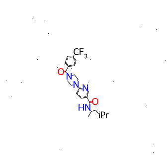 CC(C)CC(C)NC(=O)c1ccc(N2CCN(C(=O)c3ccc(C(F)(F)F)cc3)CC2)nc1